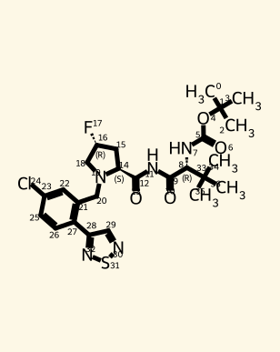 CC(C)(C)OC(=O)N[C@@H](C(=O)NC(=O)[C@@H]1C[C@@H](F)CN1Cc1cc(Cl)ccc1-c1cnsn1)C(C)(C)C